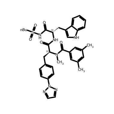 CCCCS(=O)(=O)NC(=O)[C@H](Cc1c[nH]c2ccccc12)NC(=O)[C@H](Cc1ccc(-n2nccn2)cc1)N(C)C(=O)c1cc(C)cc(C)c1